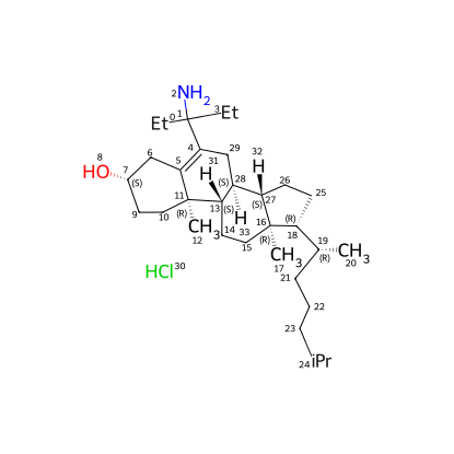 CCC(N)(CC)C1=C2C[C@@H](O)CC[C@]2(C)[C@H]2CC[C@]3(C)[C@@H]([C@H](C)CCCC(C)C)CC[C@H]3[C@@H]2C1.Cl